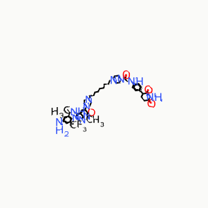 C[C@@H](Nc1ncnc2c1cc(N1CCN(CCCCCCCCCN3CCN(C(=O)CNc4ccc(C5CCC(=O)NC5=O)cc4)CC3)CC1)c(=O)n2C)c1cc(N)cc(C(F)(F)F)c1